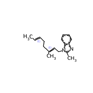 C/C=C/CC/C(C)=C/Cn1c(C)nc2ccccc21